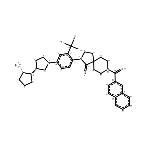 C[C@H]1CCCN1[C@H]1CCN(c2ccc(N3CCC4(CCN(C(=O)c5ccc6ccccc6c5)CC4)C3=O)c(C(F)(F)F)c2)C1